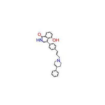 O=c1[nH]cc(-c2ccc(/C=C/CN3CC=C(c4ccccc4)CC3)cc2)c2c(O)cccc12